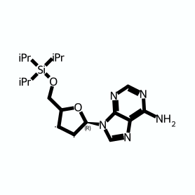 CC(C)[Si](OCC1[CH][CH][C@H](n2cnc3c(N)ncnc32)O1)(C(C)C)C(C)C